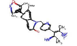 COc1cc2c(ccc(=O)n2Cc2ccc(/C(C(C)=N)=C(\C)N)cn2)cc1-c1c(C)noc1C